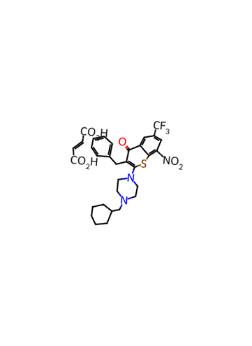 O=C(O)/C=C/C(=O)O.O=c1c(Cc2ccccc2)c(N2CCN(CC3CCCCC3)CC2)sc2c([N+](=O)[O-])cc(C(F)(F)F)cc12